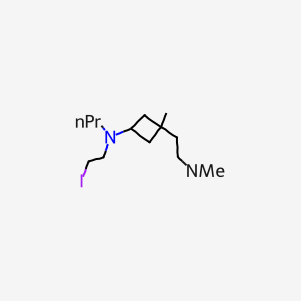 CCCN(CCI)C1CC(C)(CCNC)C1